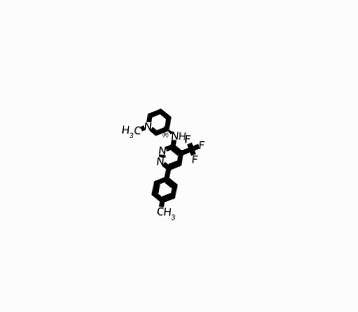 Cc1ccc(-c2cc(C(F)(F)F)c(N[C@@H]3CCCN(C)C3)nn2)cc1